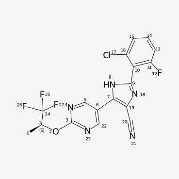 C[C@H](Oc1ncc(-c2[nH]c(-c3c(F)cccc3Cl)nc2C#N)cn1)C(F)(F)F